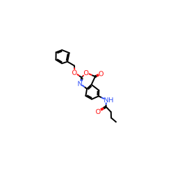 CCCC(=O)Nc1ccc2nc(OCc3ccccc3)oc(=O)c2c1